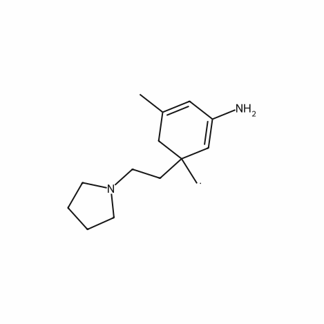 [CH2]C1(CCN2CCCC2)C=C(N)C=C(C)C1